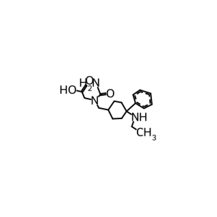 CCNC1(c2ccccc2)CCC(CN(CC(=O)O)C(N)=O)CC1